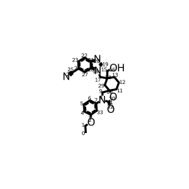 CCOc1cccc(N2CC3(CCCC(CO)(Cn4cnc5ccc(C#N)cc54)C3)OC2=O)c1